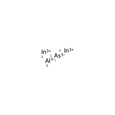 [Al-3].[As-3].[In+3].[In+3]